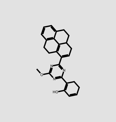 COc1nc(C2=CCC3CCc4cccc5c4C3=C2CC5)nc(C2=C(O)C=CCC2)n1